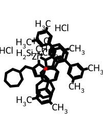 Cc1cc(C)cc(-c2ccc(-c3cc(C)cc(C)c3)c3c2C=C(CC2CCCCCC2)[CH]3[Zr]([CH3])([CH3])(=[SiH2])[CH]2C(CC3CCCCCC3)=Cc3c(-c4cc(C)cc(C)c4)ccc(-c4cc(C)cc(C)c4)c32)c1.Cl.Cl